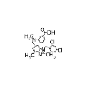 Cc1cc(CN(C)c2cccc(C(=O)O)c2)cc2c1nc(C)n2Cc1ccc(Cl)cc1Cl